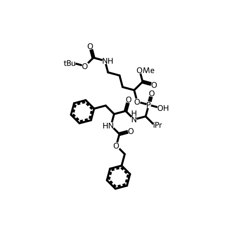 COC(=O)C(CCCNC(=O)OC(C)(C)C)OP(=O)(O)C(NC(=O)C(Cc1ccccc1)NC(=O)OCc1ccccc1)C(C)C